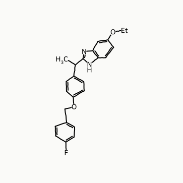 CCOc1ccc2[nH]c(C(C)c3ccc(OCc4ccc(F)cc4)cc3)nc2c1